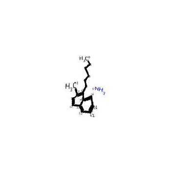 CCCCCCc1c(C)ccc2ccccc12.N